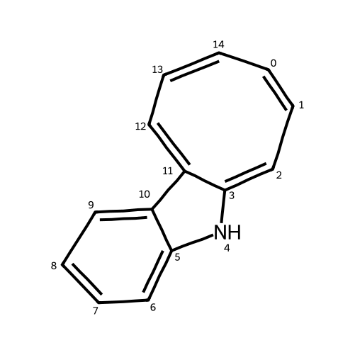 C1=CC=c2[nH]c3ccccc3c2=CC=C1